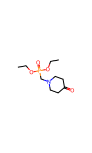 CCOP(=O)(CN1CCC(=O)CC1)OCC